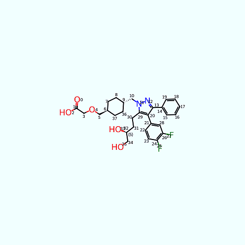 O=C(O)COC[C@H]1CC[C@H](Cn2nc(-c3ccccc3)c(-c3ccc(F)c(F)c3)c2CC[C@H](O)CO)CC1